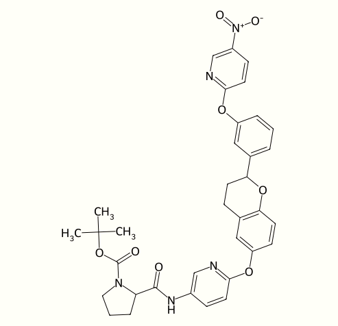 CC(C)(C)OC(=O)N1CCCC1C(=O)Nc1ccc(Oc2ccc3c(c2)CCC(c2cccc(Oc4ccc([N+](=O)[O-])cn4)c2)O3)nc1